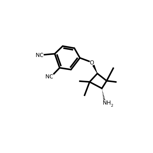 CC1(C)[C@H](N)C(C)(C)[C@H]1Oc1ccc(C#N)c(C#N)c1